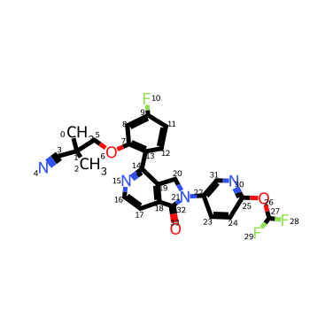 CC(C)(C#N)COc1cc(F)ccc1-c1nccc2c1CN(c1ccc(OC(F)F)nc1)C2=O